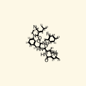 CCN(C(=O)C(C#N)=CC(C)C)c1cccc(C[C@H](NC(=O)[C@@H](NC(=O)c2cc(C)no2)[C@@H](C)O)C(=O)NCc2ccc(C)cc2F)c1